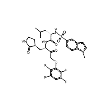 CC(C)C[C@H](NS(=O)(=O)c1ccc2c(ccn2C)c1)C(=O)N[C@@H](C[C@@H]1CCNC1=O)C(=O)COc1c(F)c(F)cc(F)c1F